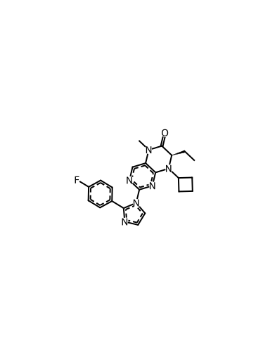 CC[C@@H]1C(=O)N(C)c2cnc(-n3ccnc3-c3ccc(F)cc3)nc2N1C1CCC1